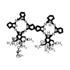 CC(=O)[O-].CC(=O)[O-].CN(C)Cc1cc2c3nc4nc(nc5[nH]c(nc6nc(nc([nH]3)c2c(CN(C)C)c1CN(C)C)-c1ccccc1-6)c1ccccc51)-c1ccccc1-4.CN(C)Cc1cc2c3nc4nc(nc5[nH]c(nc6nc(nc([nH]3)c2c(CN(C)C)c1CN(C)C)-c1ccccc1-6)c1ccccc51)-c1ccccc1-4.[Cu+2]